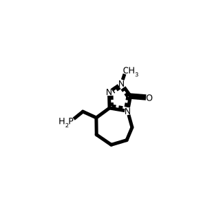 Cn1nc2n(c1=O)CCCCC2CP